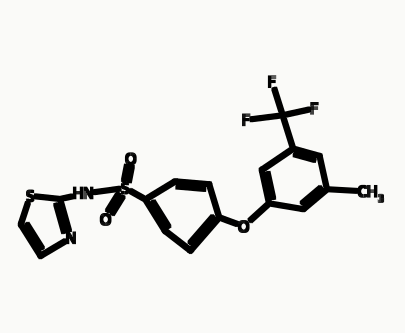 Cc1cc(Oc2ccc(S(=O)(=O)Nc3nccs3)cc2)cc(C(F)(F)F)c1